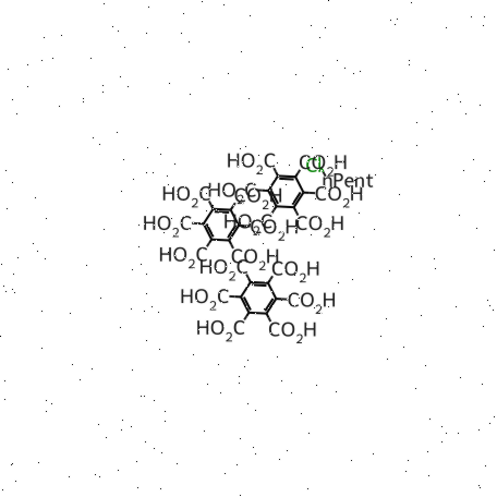 CCCCCCl.O=C(O)c1c(C(=O)O)c(C(=O)O)c(C(=O)O)c(C(=O)O)c1C(=O)O.O=C(O)c1c(C(=O)O)c(C(=O)O)c(C(=O)O)c(C(=O)O)c1C(=O)O.O=C(O)c1c(C(=O)O)c(C(=O)O)c(C(=O)O)c(C(=O)O)c1C(=O)O